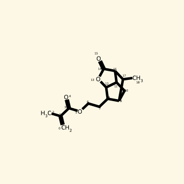 C=C(C)C(=O)OCCC1C2CC3C1OC(=O)C3C2C